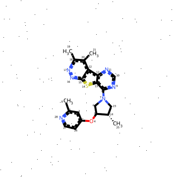 Cc1cc(OC2CN(c3ncnc4c3sc3nnc(C)c(C)c34)C[C@@H]2C)ccn1